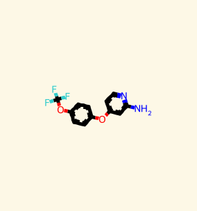 Nc1cc(Oc2ccc(OC(F)(F)F)cc2)ccn1